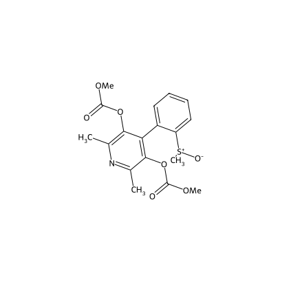 COC(=O)Oc1c(C)nc(C)c(OC(=O)OC)c1-c1ccccc1[S+](C)[O-]